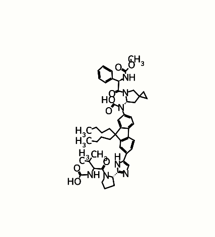 CCCCC1(CCCC)c2cc(-c3cnc([C@@H]4CCCN4C(=O)[C@@H](NC(=O)O)C(C)C)[nH]3)ccc2-c2ccc(N(C(=O)O)[C@H]3CC4(CC4)CN3C(=O)[C@H](NC(=O)OC)c3ccccc3)cc21